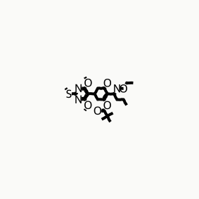 CCCC(=NOCC)C1=C(OC(=O)C(C)(C)C)CC(c2c(OC)nc(SC)nc2OC)CC1=O